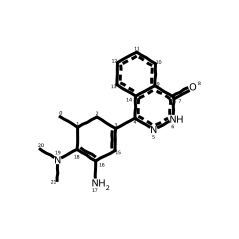 CC1CC(c2n[nH]c(=O)c3ccccc23)=CC(N)=C1N(C)C